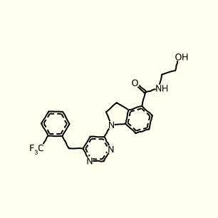 O=C(NCCO)c1cccc2c1CCN2c1cc(Cc2ccccc2C(F)(F)F)ncn1